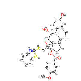 CCCCOc1ccc(C(=O)O[C@]2(C(=O)CSc3nc4ccccc4s3)CCC3C4CCC5=CC(=O)CCC5(C)C4[C@@H](O)CC32C)cc1